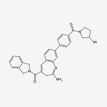 CC(C)C1CCN(C(=O)c2ccc(-c3ccc4c(c3)N=C(N)CC(C(=O)N3Cc5ccccc5C3)=C4)cc2)C1